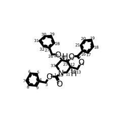 O=C(OCc1ccccc1)N1C[C@@H]2COC(c3ccccc3)O[C@H]2[C@H](OCc2ccccc2)C1